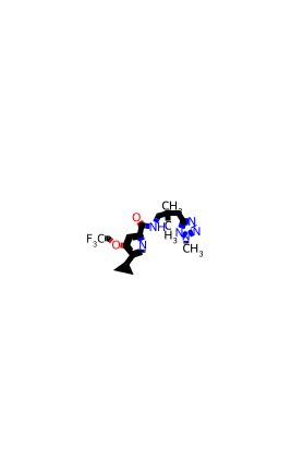 Cn1nnc(CC(C)(C)CNC(=O)c2cc(OCC(F)(F)F)c(C3CC3)cn2)n1